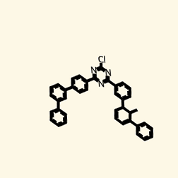 CC1C(c2ccccc2)=CC=CC1c1cccc(-c2nc(Cl)nc(-c3ccc(-c4cccc(-c5ccccc5)c4)cc3)n2)c1